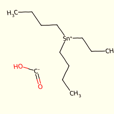 CCC[CH2][Sn+]([CH2]CC)[CH2]CCC.O=[C-]O